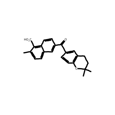 Cc1ccc2cc(C(=O)c3ccc4c(c3)CCC(C)(C)O4)ccc2c1C(=O)O